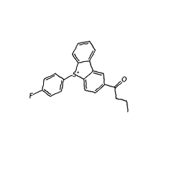 CCCC(=O)c1ccc2c(c1)c1ccccc1[s+]2-c1ccc(F)cc1